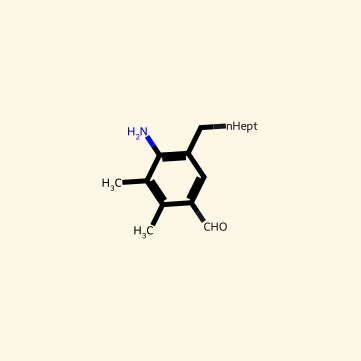 CCCCCCCCc1cc(C=O)c(C)c(C)c1N